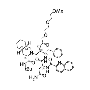 COCCOCCOCC(=O)O[C@H](CN1C[C@H]2CCCC[C@H]2C[C@H]1C(=O)NC(C)(C)C)[C@H](Cc1ccccc1)NC(=O)[C@H](CC(N)=O)NC(=O)c1ccc2ccccc2n1